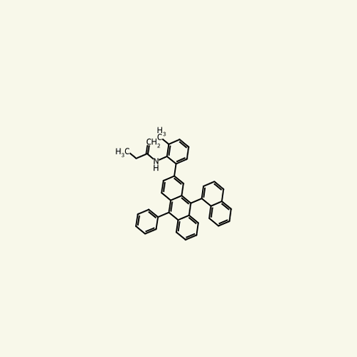 C=C(CC)Nc1c(C)cccc1-c1ccc2c(-c3ccccc3)c3ccccc3c(-c3cccc4ccccc34)c2c1